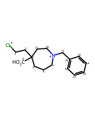 O=C(O)C1(CCCl)CCCN(Cc2ccccc2)CC1